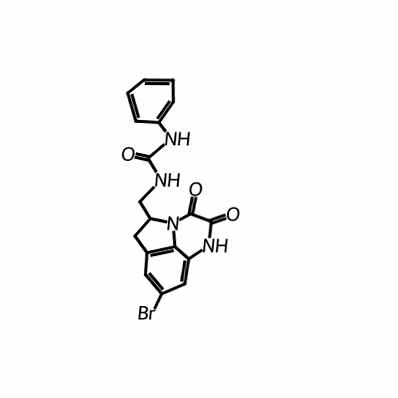 O=C(NCC1Cc2cc(Br)cc3[nH]c(=O)c(=O)n1c23)Nc1ccccc1